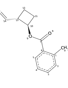 Cc1ccccc1C(=O)O[C@@H]1CC[C@H]1C=O